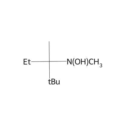 CCC(C)(N(C)O)C(C)(C)C